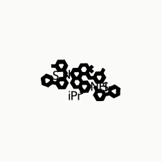 Cc1cccc(/C=C2/c3c(cc(N(c4cccc(C)c4)c4cccc5c4sc4ccccc45)c4ccc5c(C(C)C)cc(Nc6cccc7c6sc6ccccc67)cc5c34)CCC2(C)C)c1